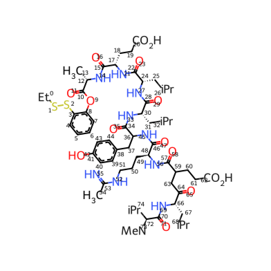 CCSSc1ccccc1OC(=O)[C@H](C)NC(=O)[C@H](CCC(=O)O)NC(=O)[C@H](CC(C)C)NC(=O)[C@H](CC(C)C)NC(=O)C(Cc1ccc(O)cc1)NC(=O)[C@H](CCCNC(C)=N)NC(=O)C(CCC(=O)O)CC(=O)[C@H](CC(C)C)NC(=O)[C@@H](NC)C(C)C